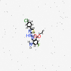 CCCOC(=O)c1cc(F)cc(N(C)C)c1/C=N/Nc1nc(-c2ccc(Cl)cc2)cs1